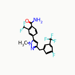 Cn1nc(Cc2cc(F)cc(C(F)(F)F)c2)cc1-c1ccc(C(N)=O)c(C(F)F)c1